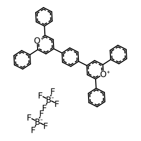 F[B-](F)(F)F.F[B-](F)(F)F.c1ccc(-c2cc(-c3ccc(-c4cc(-c5ccccc5)[o+]c(-c5ccccc5)c4)cc3)cc(-c3ccccc3)[o+]2)cc1